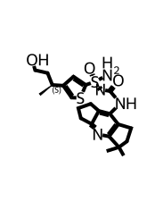 C[C@@H](CCO)c1csc(S(N)(=O)=NC(=O)Nc2c3c(nc4c2CCC4(C)C)CCC3)c1